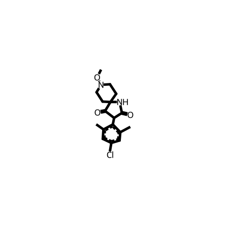 CON1CCC2(CC1)NC(=O)C(c1c(C)cc(Cl)cc1C)C2=O